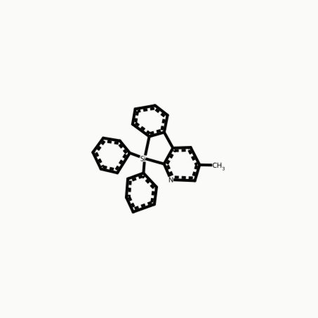 Cc1cnc2c(c1)-c1ccccc1[Si]2(c1ccccc1)c1ccccc1